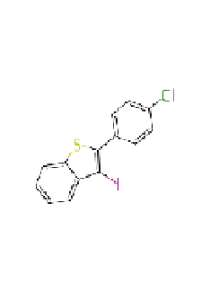 Clc1ccc(-c2sc3ccccc3c2I)cc1